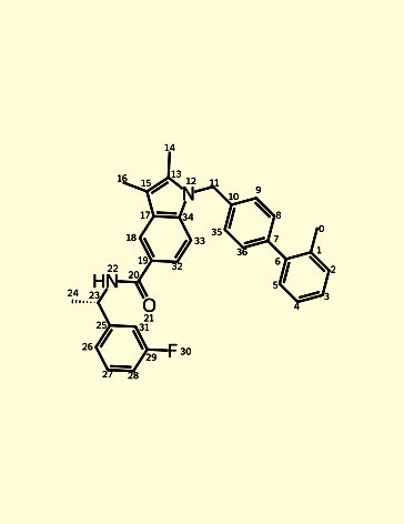 Cc1ccccc1-c1ccc(Cn2c(C)c(C)c3cc(C(=O)N[C@@H](C)c4cccc(F)c4)ccc32)cc1